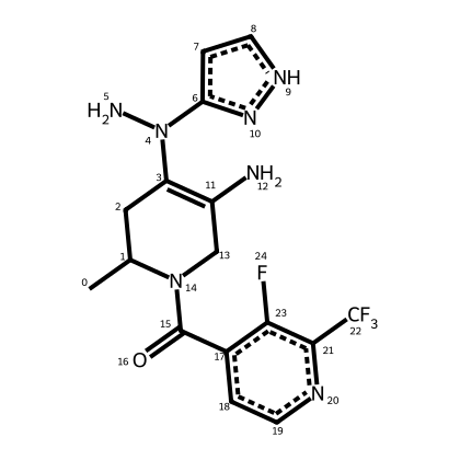 CC1CC(N(N)c2cc[nH]n2)=C(N)CN1C(=O)c1ccnc(C(F)(F)F)c1F